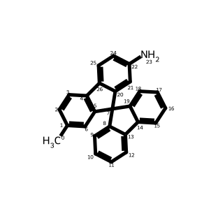 Cc1ccc2c(c1)C1(c3ccccc3-c3ccccc31)c1cc(N)ccc1-2